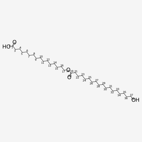 O=C(O)CCCCCCCCCCCCCCCOC(=O)CCCCCCCCCCCCCCCCCO